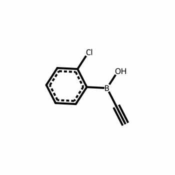 C#CB(O)c1ccccc1Cl